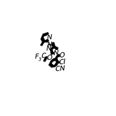 Cc1cccnc1-n1cc2c(n1)CN(C(=O)c1c(O[C@H](C)C(F)(F)F)ccc(C#N)c1Cl)C2